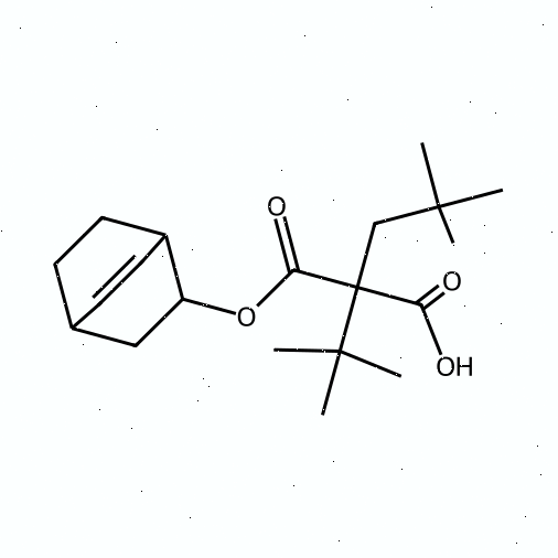 CC(C)(C)CC(C(=O)O)(C(=O)OC1CC2C=CC1CC2)C(C)(C)C